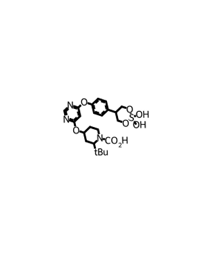 CC(C)(C)C1CC(Oc2cc(Oc3ccc(C4COS(O)(O)OC4)cc3)ncn2)CCN1C(=O)O